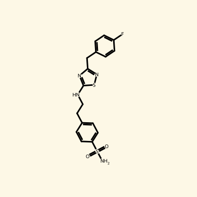 NS(=O)(=O)c1ccc(CCNc2nc(Cc3ccc(F)cc3)ns2)cc1